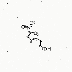 O=[N+]([O-])c1ccc(CCO)o1